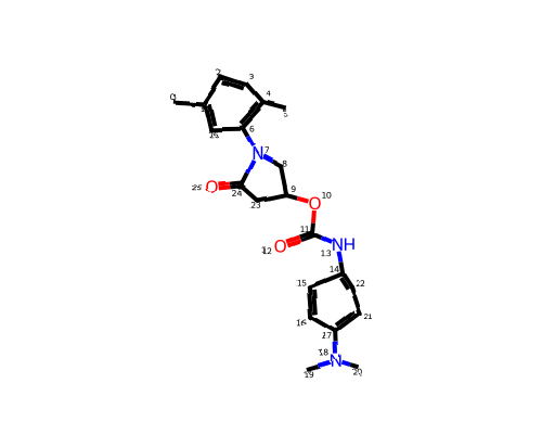 Cc1ccc(C)c(N2CC(OC(=O)Nc3ccc(N(C)C)cc3)CC2=O)c1